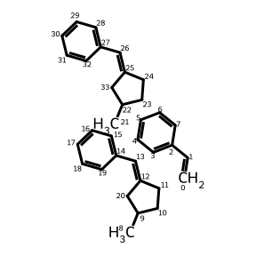 C=Cc1ccccc1.CC1CCC(=Cc2ccccc2)C1.CC1CCC(=Cc2ccccc2)C1